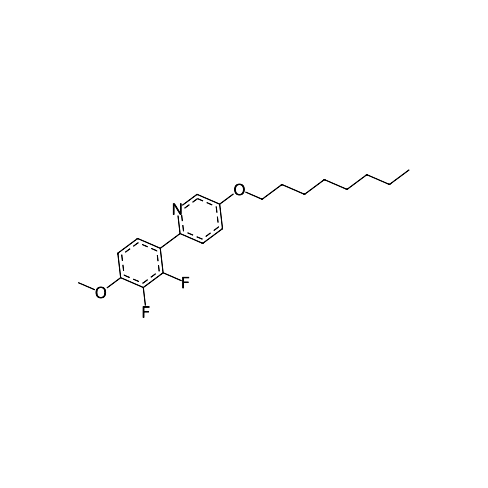 CCCCCCCCOc1ccc(-c2ccc(OC)c(F)c2F)nc1